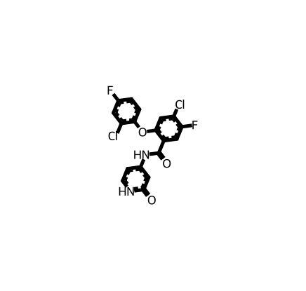 O=C(Nc1cc[nH]c(=O)c1)c1cc(F)c(Cl)cc1Oc1ccc(F)cc1Cl